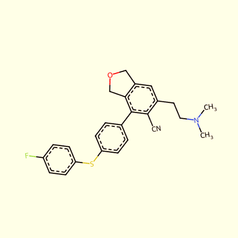 CN(C)CCc1cc2c(c(-c3ccc(Sc4ccc(F)cc4)cc3)c1C#N)COC2